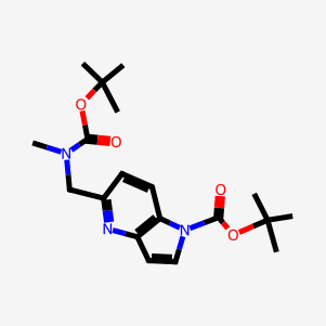 CN(Cc1ccc2c(ccn2C(=O)OC(C)(C)C)n1)C(=O)OC(C)(C)C